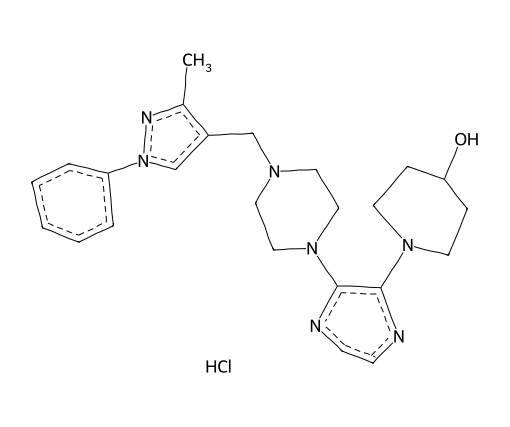 Cc1nn(-c2ccccc2)cc1CN1CCN(c2nccnc2N2CCC(O)CC2)CC1.Cl